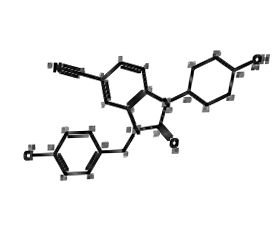 N#Cc1ccc2c(c1)n(Cc1ccc(Cl)cc1)c(=O)n2C1CCC(O)CC1